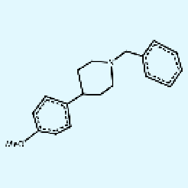 COc1ccc(C2CCN(Cc3ccccc3)CC2)cc1